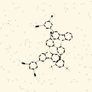 N#Cc1cc(C#N)cc(-c2ccc3c(c2)c2ccccc2n3-c2ccc(C#N)cc2-c2cc(-c3cc(C(F)(F)F)cc(C(F)(F)F)c3)ccc2-n2c3ccccc3c3cc(-c4cc(C#N)cc(C#N)c4)ccc32)c1